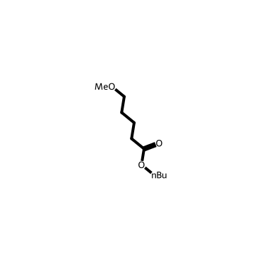 CCCCOC(=O)CCCCOC